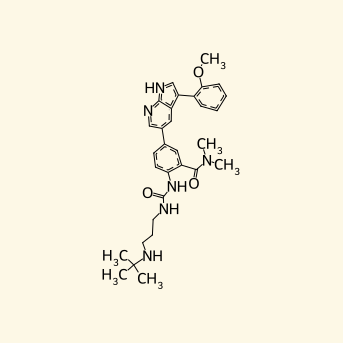 COc1ccccc1-c1c[nH]c2ncc(-c3ccc(NC(=O)NCCCNC(C)(C)C)c(C(=O)N(C)C)c3)cc12